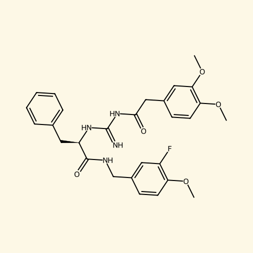 COc1ccc(CNC(=O)[C@@H](Cc2ccccc2)NC(=N)NC(=O)Cc2ccc(OC)c(OC)c2)cc1F